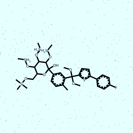 COC(OC)(c1ccc(-c2ccc(F)cc2)s1)c1cc(C2(O)OC(CO[Si](C)(C)C)C(O[SiH2]C)C(O[SiH2]C)C2O[SiH2]C)ccc1C